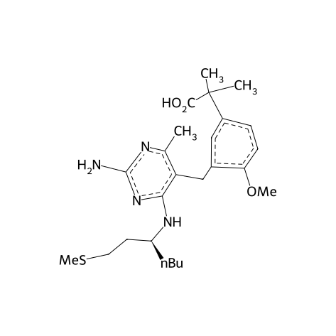 CCCC[C@@H](CCSC)Nc1nc(N)nc(C)c1Cc1cc(C(C)(C)C(=O)O)ccc1OC